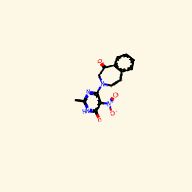 Cc1nc(N2CCc3ccccc3C(=O)C2)c([N+](=O)[O-])c(=O)[nH]1